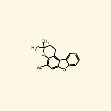 CC(=O)c1cc2oc3ccccc3c2c2c1OC(C)(C)CC2